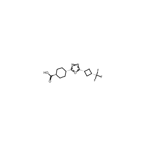 O=C(O)[C@H]1CC[C@H](c2nnc([C@H]3C[C@@H](C(F)(F)F)C3)o2)CC1